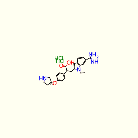 CCn1c(CC(C(=O)O)c2ccc(O[C@@H]3CCNC3)cc2)cc2ccc(C(=N)N)cc21.Cl.Cl